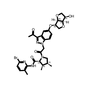 CC(=O)c1nn(CC(=O)N2C[C@@H](C)[C@@H](C)[C@H]2C(=O)Nc2nc(Br)ccc2C)c2ccc(O[C@@H]3CO[C@H]4[C@@H]3OC[C@H]4O)cc12